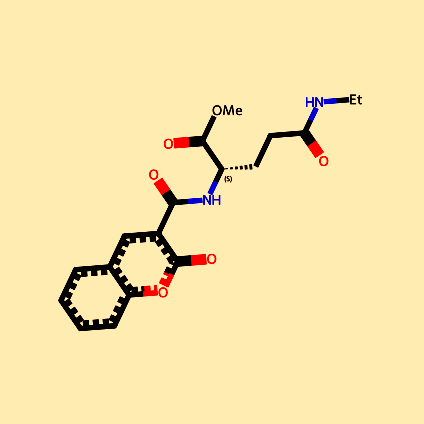 CCNC(=O)CC[C@H](NC(=O)c1cc2ccccc2oc1=O)C(=O)OC